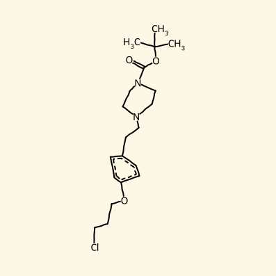 CC(C)(C)OC(=O)N1CCN(CCc2ccc(OCCCCl)cc2)CC1